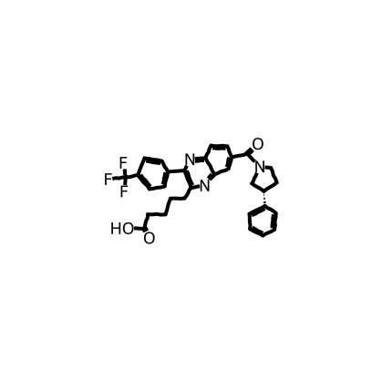 O=C(O)CCCCc1nc2cc(C(=O)N3CC[C@H](c4ccccc4)C3)ccc2nc1-c1ccc(C(F)(F)F)cc1